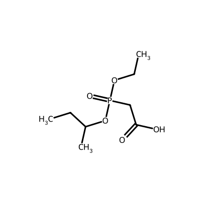 CCOP(=O)(CC(=O)O)OC(C)CC